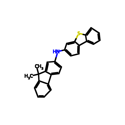 CC1(C)c2ccccc2-c2ccc(Nc3ccc4c(c3)sc3ccccc34)cc21